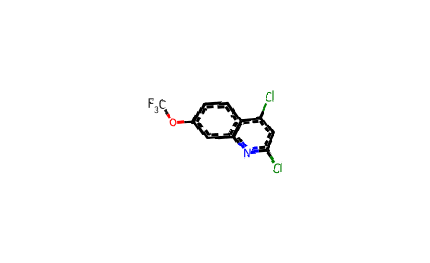 FC(F)(F)Oc1ccc2c(Cl)cc(Cl)nc2c1